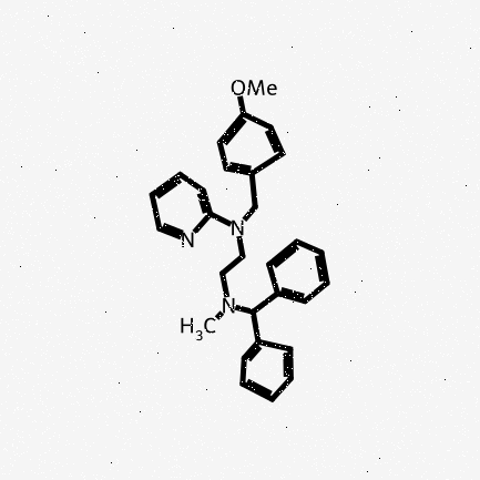 COc1ccc(CN(CCN(C)C(c2ccccc2)c2ccccc2)c2ccccn2)cc1